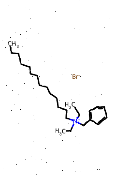 CCCCCCCCCCCCCC[N+](CC)(CC)Cc1ccccc1.[Br-]